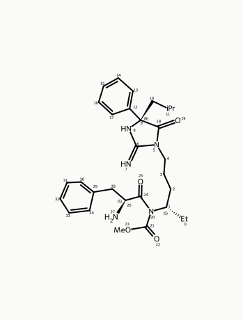 CC[C@@H](CCCN1C(=N)N[C@](CC(C)C)(c2ccccc2)C1=O)N(C(=O)OC)C(=O)[C@@H](N)Cc1ccccc1